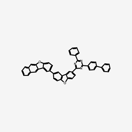 c1ccc(-c2ccc(-c3nc(-c4ccccc4)nc(-c4ccc5oc6ccc(-c7ccc8oc9cc%10ccccc%10cc9c8c7)cc6c5c4)n3)cc2)cc1